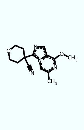 COc1nc(C)cn2c(C3(C#N)CCOCC3)ncc12